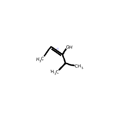 C/C=C(/O)C(C)C